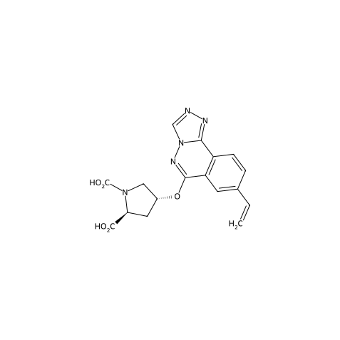 C=Cc1ccc2c(c1)c(O[C@@H]1C[C@@H](C(=O)O)N(C(=O)O)C1)nn1cnnc21